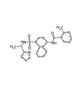 Cc1ccccc1C(=O)Nc1ccc(S(=O)(=O)NC(C)c2nccs2)c2ccccc12